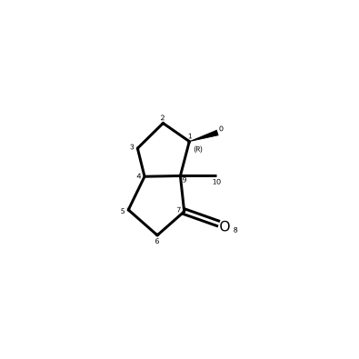 C[C@@H]1CCC2CCC(=O)C21C